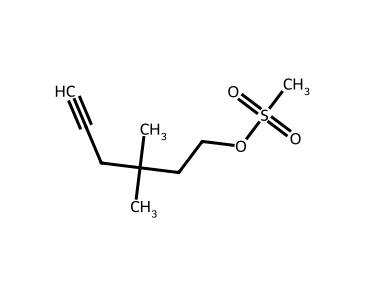 C#CCC(C)(C)CCOS(C)(=O)=O